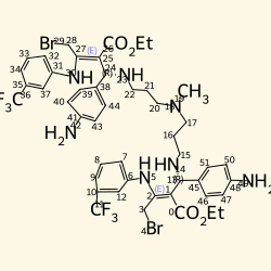 CCOC(=O)/C(=C(\CBr)Nc1cccc(C(F)(F)F)c1)[C@H](NCCCN(C)CCCN[C@@H](/C(C(=O)OCC)=C(/CBr)Nc1cccc(C(F)(F)F)c1)c1ccc(N)cc1)c1ccc(N)cc1